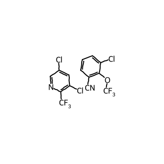 FC(F)(F)c1ncc(Cl)cc1Cl.N#Cc1cccc(Cl)c1OC(F)(F)F